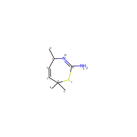 CC1C=CC(C)(C)SC(N)=N1